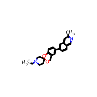 CCN1CCC2(CC1)OCc1cc(-c3ccc4cnc(C)cc4c3)ccc1O2